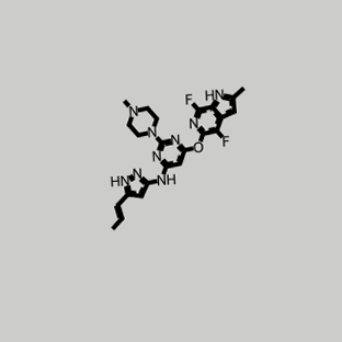 C/C=C/c1cc(Nc2cc(Oc3nc(F)c4[nH]c(C)cc4c3F)nc(N3CCN(C)CC3)n2)n[nH]1